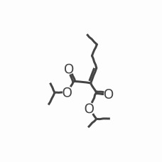 CCCC=C(C(=O)OC(C)C)C(=O)OC(C)C